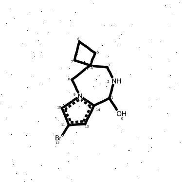 OC1NCC2(CCC2)Cn2cc(Br)cc21